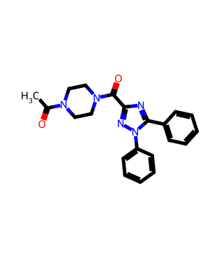 CC(=O)N1CCN(C(=O)c2nc(-c3ccccc3)n(-c3ccccc3)n2)CC1